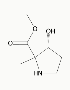 COC(=O)C1(C)NCC[C@H]1O